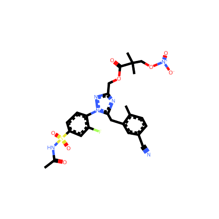 CC(=O)NS(=O)(=O)c1ccc(-n2nc(COC(=O)C(C)(C)CO[N+](=O)[O-])nc2Cc2cc(C#N)ccc2C)c(F)c1